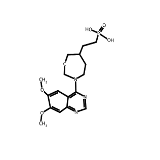 COc1cc2ncnc(N3CCCC(CCP(=O)(O)O)CC3)c2cc1OC